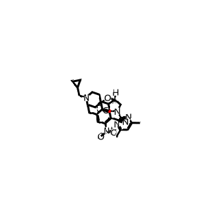 Cc1cc(C)nc(N2C[C@H]3OC45CCC2C3C42CCN(CC3CC3)C5Cc3cc([N+](=O)[O-])c(C#N)cc32)n1